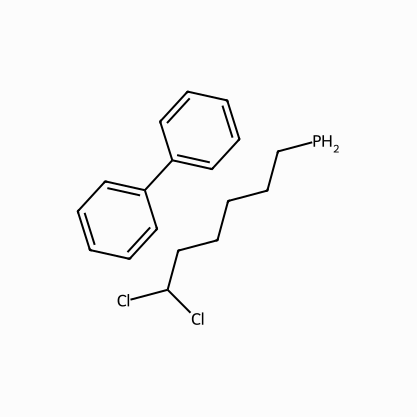 PCCCCCC(Cl)Cl.c1ccc(-c2ccccc2)cc1